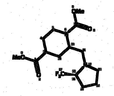 COC(=O)C1CCN(C(=O)OC)C(CN2CCC[C@H]2C(F)(F)F)C1